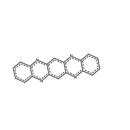 c1ccc2nc3cc4nc5ccccc5nc4cc3nc2c1